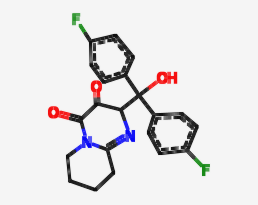 O=C1C(=O)N2CCCCC2=NC1C(O)(c1ccc(F)cc1)c1ccc(F)cc1